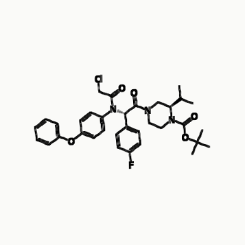 CC(C)[C@@H]1CN(C(=O)[C@H](c2ccc(F)cc2)N(C(=O)CCl)c2ccc(Oc3ccccc3)cc2)CCN1C(=O)OC(C)(C)C